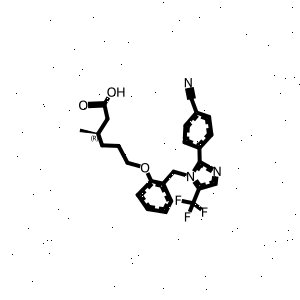 C[C@H](CCCOc1ccccc1Cn1c(C(F)(F)F)cnc1-c1ccc(C#N)cc1)CC(=O)O